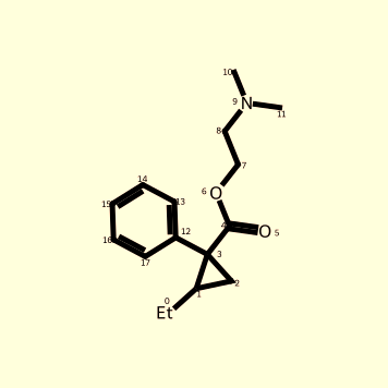 CCC1CC1(C(=O)OCCN(C)C)c1ccccc1